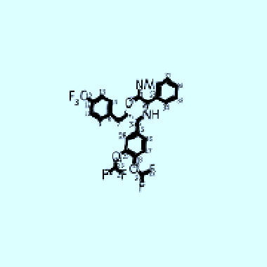 CNC(=O)[C@@H](N[C@@H](CCc1ccc(C(F)(F)F)cc1)c1ccc(OC(F)F)c(OC(F)F)c1)c1ccccc1